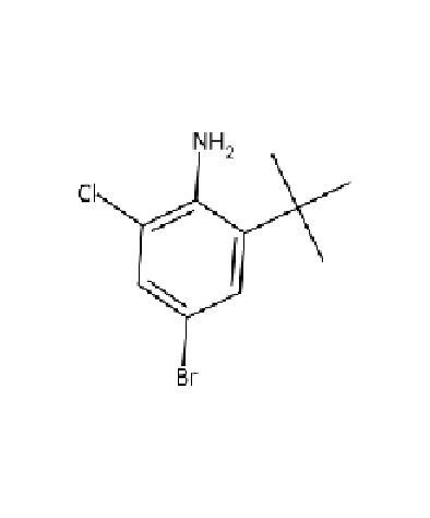 CC(C)(C)c1cc(Br)cc(Cl)c1N